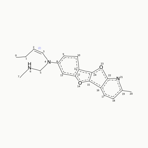 CC/C=C\N(CNC)c1ccc2c(c1)oc1c3ccc(C)nc3oc21